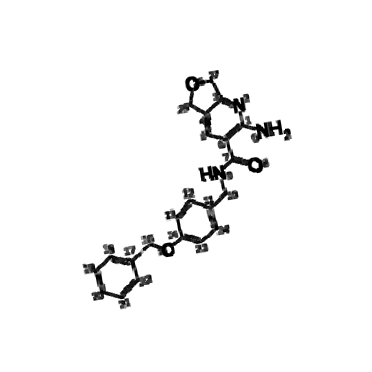 Nc1nc2c(cc1C(=O)NCc1ccc(OCc3ccccc3)cc1)COC2